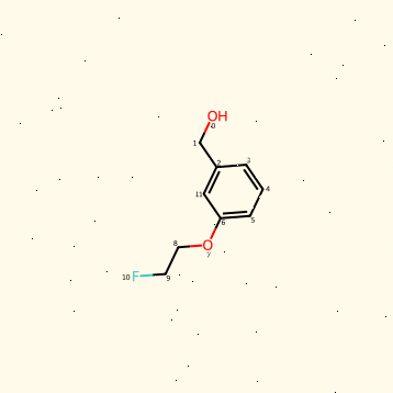 OCc1cccc(OCCF)c1